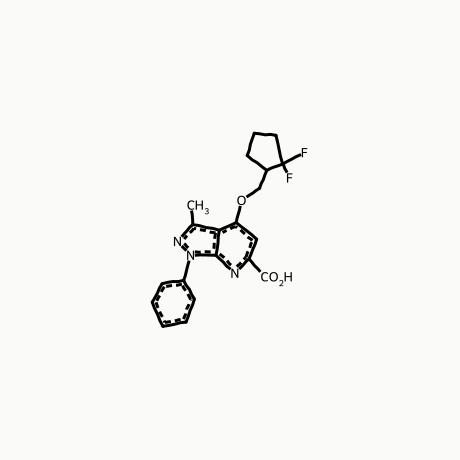 Cc1nn(-c2ccccc2)c2nc(C(=O)O)cc(OCC3CCCC3(F)F)c12